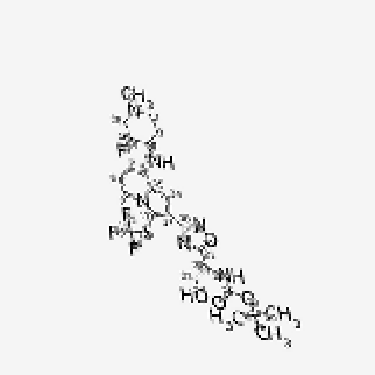 CN1CC[C@@H](Nc2cccn3c(SC(F)(F)F)c(-c4noc([C@@H](CO)NC(=O)OC(C)(C)C)n4)cc23)[C@@H](F)C1